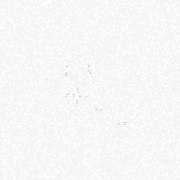 CSc1cccc(C)c1S(=O)(=O)OCO[PH2]=O